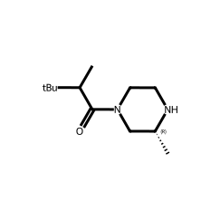 CC(C(=O)N1CCN[C@H](C)C1)C(C)(C)C